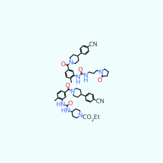 CCOC(=O)N1CCC(NC(=O)Nc2cc(C(=O)N3CCC(c4ccc(C#N)cc4)CC3)ccc2C)CC1.Cc1ccc(C(=O)N2CCC(c3ccc(C#N)cc3)CC2)cc1NC(=O)NCCCN1CCCC1=O